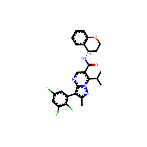 Cc1nn2c(C(C)C)c(C(=O)N[C@H]3CCOc4ccccc43)cnc2c1-c1cc(Cl)cc(Cl)c1Cl